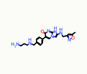 Cc1cc(CNc2cn3cc(-c4ccc(CNCCCN)cc4)c(=O)nc3[nH]2)no1